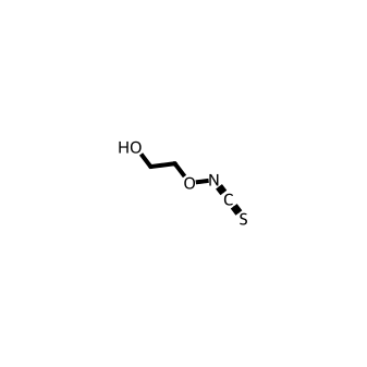 OCCON=C=S